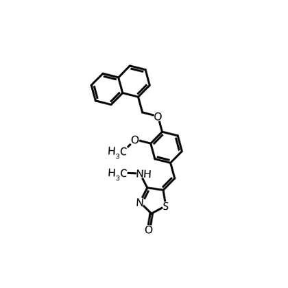 CNC1=NC(=O)SC1=Cc1ccc(OCc2cccc3ccccc23)c(OC)c1